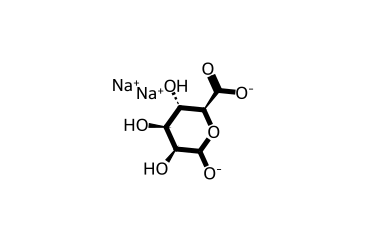 O=C([O-])[C@H]1OC([O-])[C@@H](O)[C@@H](O)[C@@H]1O.[Na+].[Na+]